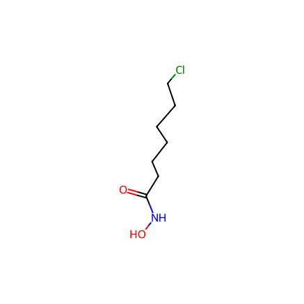 O=C(CCCCCCCl)NO